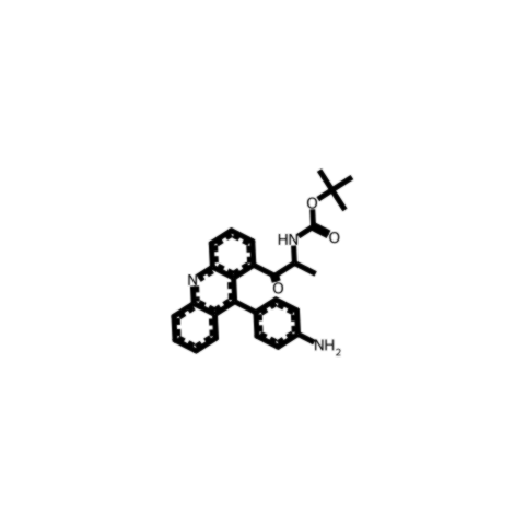 CC(NC(=O)OC(C)(C)C)C(=O)c1cccc2nc3ccccc3c(-c3ccc(N)cc3)c12